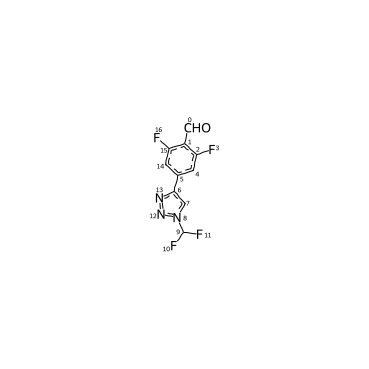 O=Cc1c(F)cc(-c2cn(C(F)F)nn2)cc1F